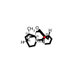 C[C@H]1C[C@@H]2CCN3[C@@]1(CCC1[C@@H]4CCC[C@@]13OC(=O)C4)O2